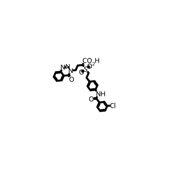 O=C(Nc1ccc(CCS(=O)(=O)C(CCn2nnc3ccccc3c2=O)C(=O)O)cc1)c1cccc(Cl)c1